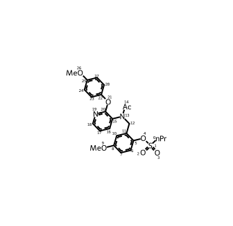 CCCS(=O)(=O)Oc1ccc(OC)cc1CN(C(C)=O)c1cccnc1Oc1ccc(OC)cc1